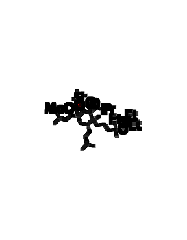 CC[Si](CC)(CC)OC(C)(C)CCC[C@]1(C)[C@@H](CC=C(C)C)C[C@@]2(CC=C(C)C)C(=O)[C@]1(C(=O)C(C)C)C(=O)C([Si](C)(C)C)=C2OC